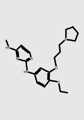 CCOc1ccc(Nc2nccc(NC)n2)cc1OCCCN1CCCC1